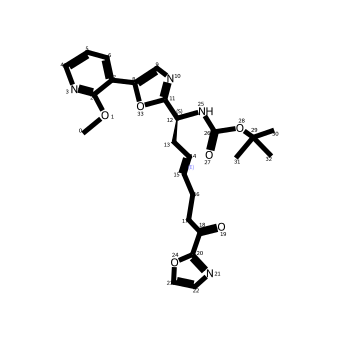 COc1ncccc1-c1cnc([C@H](C/C=C/CCC(=O)c2ncco2)NC(=O)OC(C)(C)C)o1